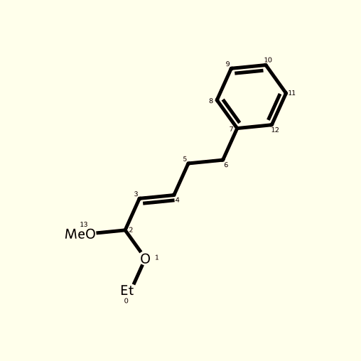 CCOC(/C=C/CCc1ccccc1)OC